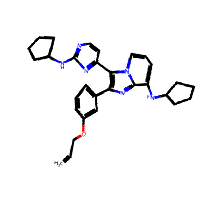 C=CCOc1cccc(-c2nc3c(NC4CCCC4)cccn3c2-c2ccnc(NC3CCCC3)n2)c1